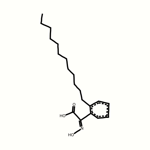 CCCCCCCCCCCCc1ccccc1/C(=N/O)C(=O)O